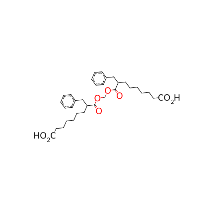 O=C(O)CCCCCCC(Cc1ccccc1)C(=O)OCOC(=O)C(CCCCCCC(=O)O)Cc1ccccc1